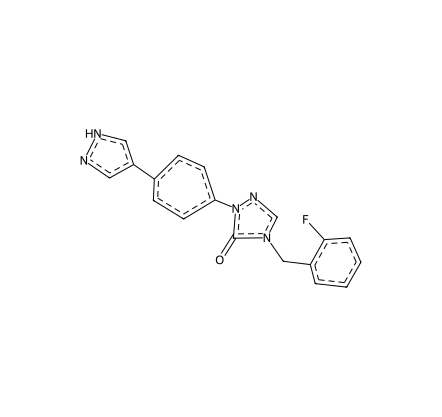 O=c1n(Cc2ccccc2F)cnn1-c1ccc(-c2cn[nH]c2)cc1